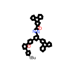 CC(C)(C)c1ccc(-c2cccc3c2oc2cc(-c4cc(-c5ccc6c7ccccc7c7ccccc7c6c5)cc(-c5ncc6c(n5)oc5cc7c8ccccc8c8ccccc8c7cc56)c4)ccc23)cc1